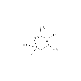 CCC1=C(C)CC(C)(C)C=C1C